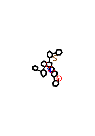 c1ccc(-c2ccccc2-c2c(-c3ccccc3)cccc2N(c2ccc(-c3cccc4c3sc3ccccc34)cc2)c2ccc3oc4ccccc4c3c2)cc1